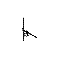 CCCCCCCCCCCCOC(CCCCCCCCCCC)CC(=O)OC(CCCCCCCCCCC)CC(=O)O